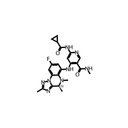 CNC(=O)c1cnc(NC(=O)C2CC2)cc1Nc1cc(F)cc2c1N(C)[C@@H](C)c1nc(C)nn1-2